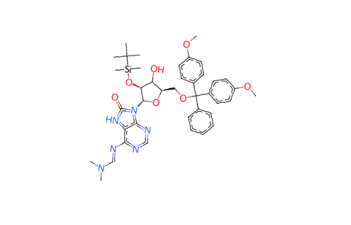 COc1ccc(C(OC[C@H]2O[C@@H](n3c(=O)[nH]c4c(N=CN(C)C)ncnc43)[C@@H](O[Si](C)(C)C(C)(C)C)C2O)(c2ccccc2)c2ccc(OC)cc2)cc1